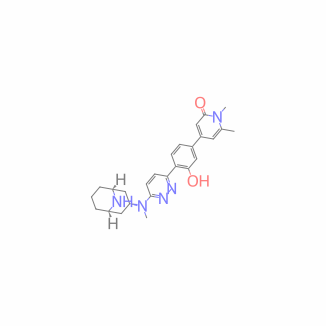 Cc1cc(-c2ccc(-c3ccc(N(C)[C@@H]4C[C@H]5CCC[C@@H](C4)N5)nn3)c(O)c2)cc(=O)n1C